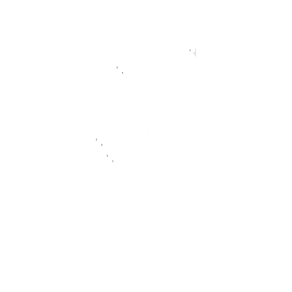 N#Cc1ccc(C(O)(C#N)c2ccccc2)c(C#N)c1C#N